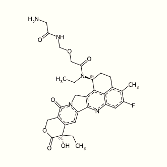 CCN(C(=O)COCNC(=O)CN)[C@H]1CCc2c(C)c(F)cc3nc4c(c1c23)Cn1c-4cc2c(c1=O)COC(=O)[C@]2(O)CC